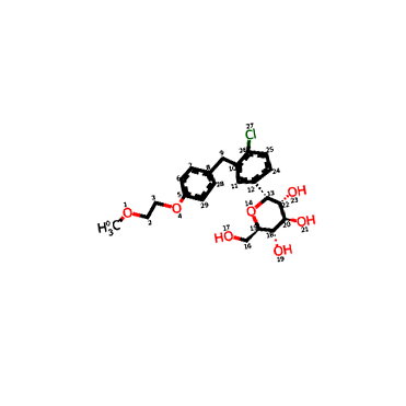 COCCOc1ccc(Cc2cc([C@H]3O[C@H](CO)[C@@H](O)[C@H](O)[C@H]3O)ccc2Cl)cc1